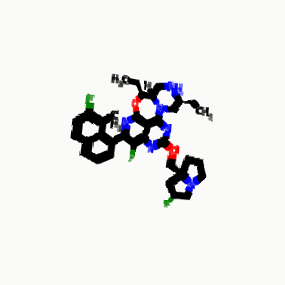 CC[C@@H]1CN2c3nc(OC[C@@]45CCCN4C[C@H](F)C5)nc4c(F)c(-c5cccc6ccc(F)c(C)c56)nc(c34)O[C@@H](CC)[C@@H]2CN1